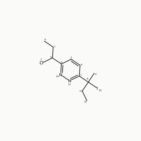 CCC(Cl)c1ccc(C(C)(I)CC)nn1